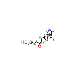 CC1(Cc2csc(C(=O)CCC(=O)O)c2)N=CC=N1